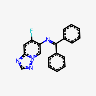 Fc1cc2ncnn2cc1N=C(c1ccccc1)c1ccccc1